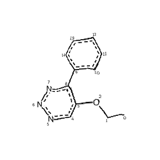 CCOc1[c]nnnc1-c1ccccc1